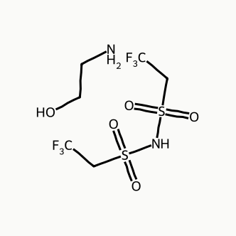 NCCO.O=S(=O)(CC(F)(F)F)NS(=O)(=O)CC(F)(F)F